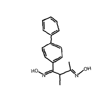 C/C(=N\O)C(C)/C(=N/O)c1ccc(-c2ccccc2)cc1